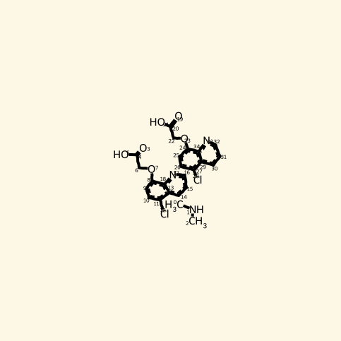 CNC.O=C(O)COc1ccc(Cl)c2cccnc12.O=C(O)COc1ccc(Cl)c2cccnc12